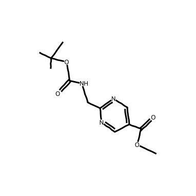 COC(=O)c1cnc(CNC(=O)OC(C)(C)C)nc1